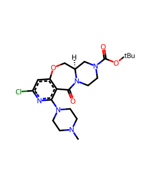 CN1CCN(c2nc(Cl)cc3c2C(=O)N2CCN(C(=O)OC(C)(C)C)C[C@@H]2CO3)CC1